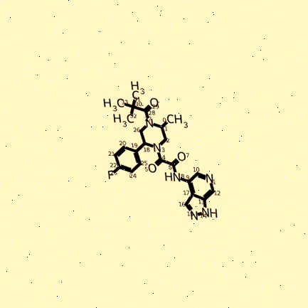 CC1CN(C(=O)C(=O)Nc2cncc3[nH]ncc23)C(c2ccc(F)cc2)CN1C(=O)C(C)(C)C